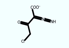 N=[N+]=C(C(=O)[O-])C(=O)CCl